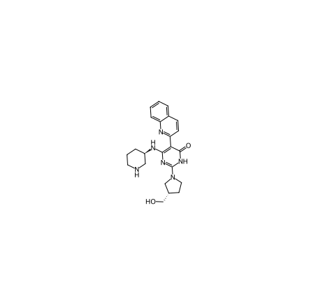 O=c1[nH]c(N2CC[C@H](CO)C2)nc(N[C@@H]2CCCNC2)c1-c1ccc2ccccc2n1